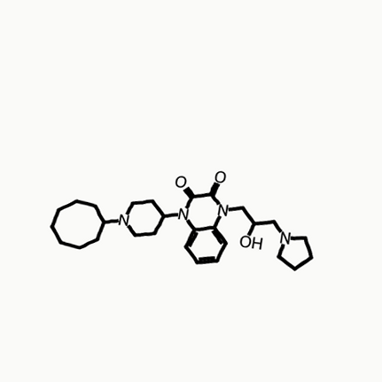 O=c1c(=O)n(C2CCN(C3CCCCCCC3)CC2)c2ccccc2n1CC(O)CN1CCCC1